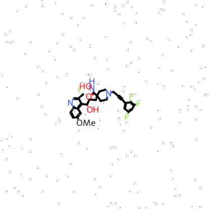 COc1ccc2ncc(CF)c([C@H](O)CCC3(C(=O)NO)CCN(CC#Cc4cc(F)cc(F)c4F)CC3)c2c1